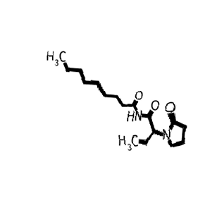 CCCCCCCCC(=O)NC(=O)[C@H](CC)N1CCCC1=O